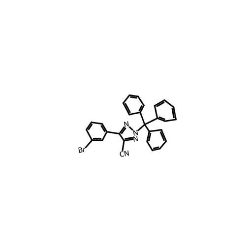 N#Cc1nn(C(c2ccccc2)(c2ccccc2)c2ccccc2)nc1-c1cccc(Br)c1